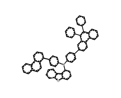 c1ccc(-c2c(-c3ccccc3)c3cc(-c4ccc(N(c5ccc(-c6cccc7c6ccc6ccccc67)cc5)c5cccc6oc7ccccc7c56)cc4)ccc3c3ccccc23)cc1